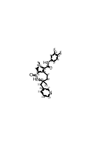 Cn1cc2c(c1C(=O)Nc1ccc(F)c(F)c1)CCC(C)(Cc1cccnc1)N[S+]2[O-]